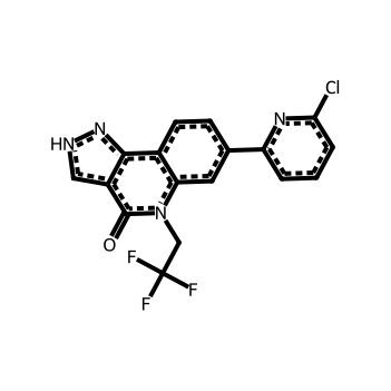 O=c1c2c[nH]nc2c2ccc(-c3cccc(Cl)n3)cc2n1CC(F)(F)F